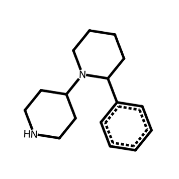 c1ccc(C2CCCCN2C2CCNCC2)cc1